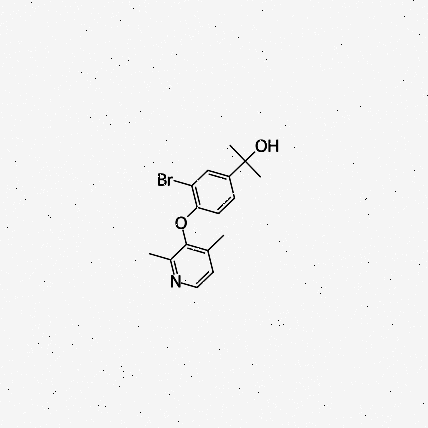 Cc1ccnc(C)c1Oc1ccc(C(C)(C)O)cc1Br